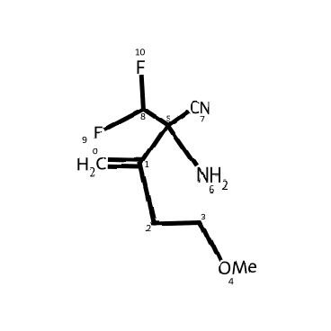 C=C(CCOC)C(N)(C#N)C(F)F